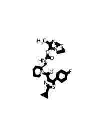 Cc1nc2sccn2c1OC(=O)NC[C@@H]1CCCCN1C(=O)c1nc(C2CC2)sc1-c1ccc(F)cc1